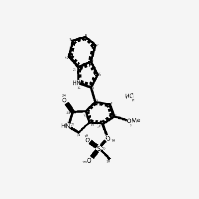 COc1cc(-c2cc3ccccc3[nH]2)c2c(c1OS(C)(=O)=O)CNC2=O.Cl